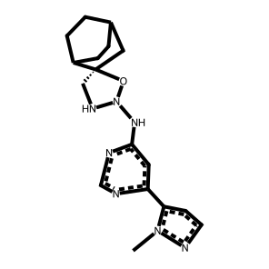 Cn1nccc1-c1cc(NN2NC[C@]3(CC4CCC3CC4)O2)ncn1